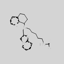 O=C(O)NCCCCCN(Cc1cn2ccccc2n1)C1CCCc2cccnc21